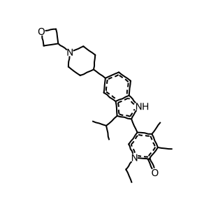 CCn1cc(-c2[nH]c3ccc(C4CCN(C5COC5)CC4)cc3c2C(C)C)c(C)c(C)c1=O